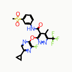 Cc1c(C(F)(F)F)nnc(Oc2ncc(C3CC3)nc2F)c1C(=O)Nc1cccc(S(C)(=O)=O)c1